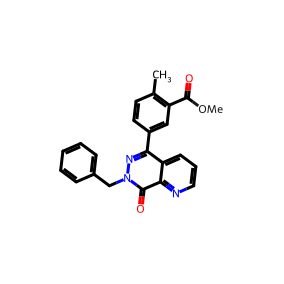 COC(=O)c1cc(-c2nn(Cc3ccccc3)c(=O)c3ncccc23)ccc1C